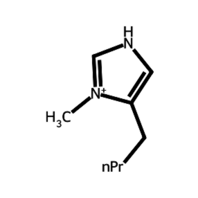 CCCCc1c[nH]c[n+]1C